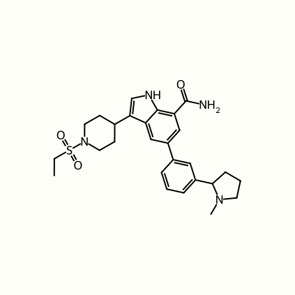 CCS(=O)(=O)N1CCC(c2c[nH]c3c(C(N)=O)cc(-c4cccc(C5CCCN5C)c4)cc23)CC1